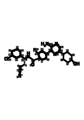 [N-]=[N+]=NC[C@@H](NC(=O)c1ccc(-c2nc(C3CCC(O)CC3)cnc2N)cc1F)c1cccc(Cl)c1